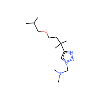 CC(C)COCCC(C)(C)c1cn(CN(C)C)nn1